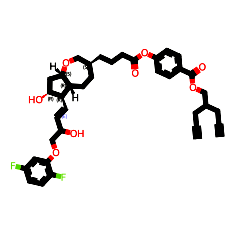 C#CCC(CC#C)COC(=O)c1ccc(OC(=O)CCC[C@H]2CC[C@@H]3[C@@H](/C=C/C(O)COc4cc(F)ccc4F)[C@H](O)C[C@@H]3OC2)cc1